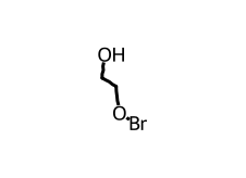 OCCOBr